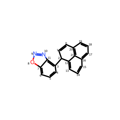 C1=CC(c2cccc3onnc23)c2cccc3cccc1c23